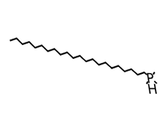 CCCCCCCCCCCCCCCCCCCCCC[PH](C)(C)C